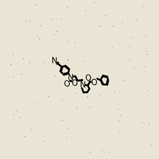 N#Cc1ccc(N2CC(CN3CCCCC3C(=O)OCc3ccccc3)OC2=O)cc1